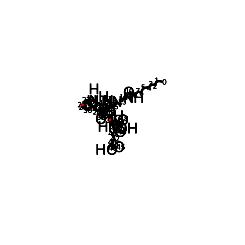 CCCCCCCCCC(=O)NCCNC[C@H](N)C(=O)N[C@H](Cc1c[nH]c2ccccc12)C(=O)NCC[C@@H](NC(=O)CCCC(=O)O)C(=O)O